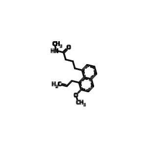 C=CCc1c(OC)ccc2cccc(CCCC(=O)NC)c12